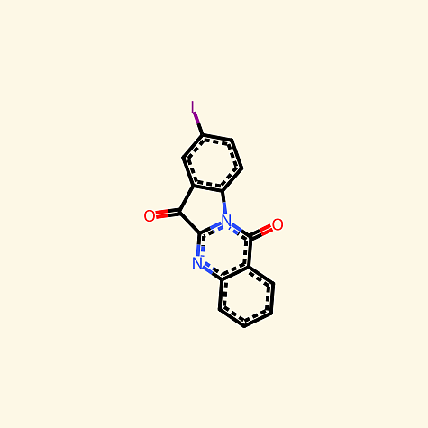 O=C1c2cc(I)ccc2-n2c1nc1ccccc1c2=O